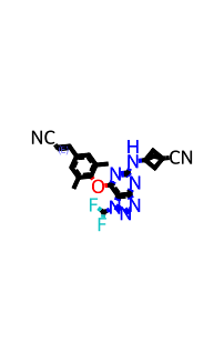 Cc1cc(/C=C/C#N)cc(C)c1Oc1nc(NC23CC(C#N)(C2)C3)nc2nnn(C(F)F)c12